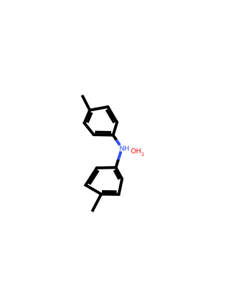 Cc1ccc(Nc2ccc(C)cc2)cc1.O